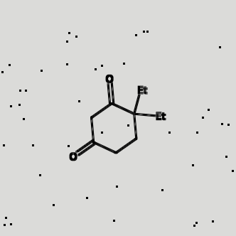 CCC1(CC)CCC(=O)CC1=O